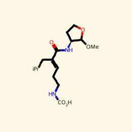 COC1OCC[C@@H]1NC(=O)C(=CCCNC(=O)O)CC(C)C